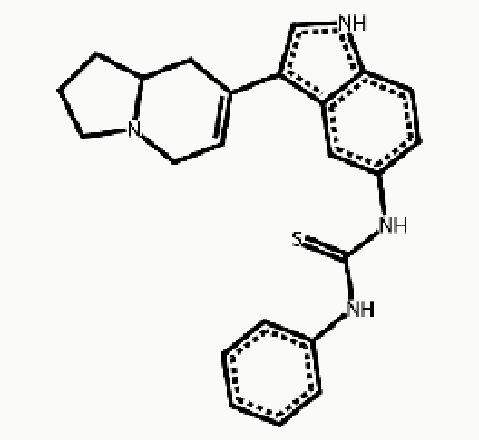 S=C(Nc1ccccc1)Nc1ccc2[nH]cc(C3=CCN4CCCC4C3)c2c1